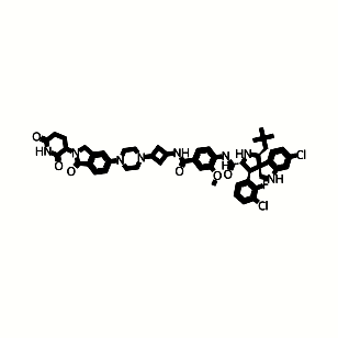 COc1cc(C(=O)NC2CC(N3CCN(c4ccc5c(c4)CN(C4CCC(=O)NC4=O)C5=O)CC3)C2)ccc1NC(=O)[C@@H]1N[C@@H](CC(C)(C)C)[C@@]2(CNc3cc(Cl)ccc32)[C@H]1c1cccc(Cl)c1F